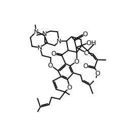 COC(=O)/C(C)=C\CC1(O)C(=O)C2CC(C(C)C)C13Oc1c(CC=C(C)C)c4c(c(OCCN5CCN(C)CC5)c1C(=O)C3C2N1CCN(C)CC1)C=CC(C)(CCC=C(C)C)O4